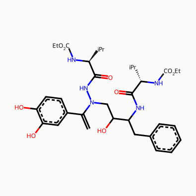 C=C(c1ccc(O)c(O)c1)N(CC(O)C(Cc1ccccc1)NC(=O)[C@@H](NC(=O)OCC)C(C)C)NC(=O)[C@@H](NC(=O)OCC)C(C)C